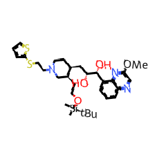 COc1cnc2cccc([C@@H](O)[C@H](O)C[C@@H]3CCN(CCSc4cccs4)C[C@@H]3CCO[Si](C)(C)C(C)(C)C)c2n1